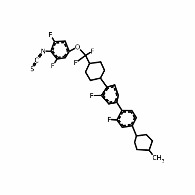 CC1CCC(c2ccc(-c3ccc(C4CCC(C(F)(F)Oc5cc(F)c(N=C=S)c(F)c5)CC4)c(F)c3)c(F)c2)CC1